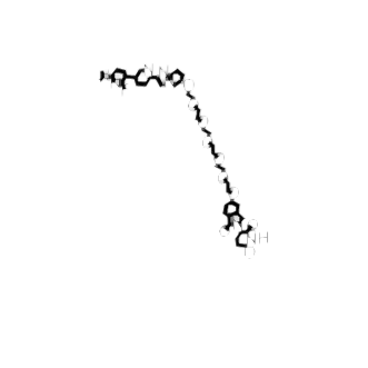 CN(C)c1ccc(-c2ccc(-c3cn4cc(OCCOCCOCCOCCOCCOCCOc5ccc6c(c5)CN(C5CCC(=O)NC5=O)C6=O)ccc4n3)nc2)c(F)n1